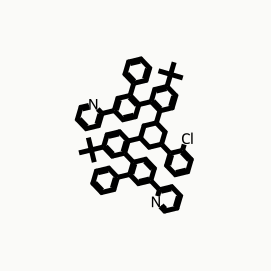 CC(C)(C)c1ccc(C2CC(c3ccccc3Cl)CC(c3ccc(C(C)(C)C)cc3-c3ccc(-c4ccccn4)cc3-c3ccccc3)C2)c(-c2ccc(-c3ccccn3)cc2-c2ccccc2)c1